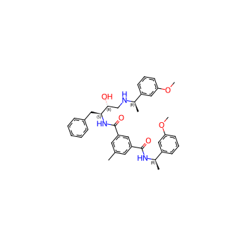 COc1cccc([C@@H](C)NC[C@@H](O)[C@H](Cc2ccccc2)NC(=O)c2cc(C)cc(C(=O)N[C@H](C)c3cccc(OC)c3)c2)c1